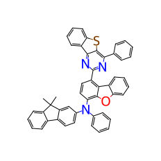 CC1(C)c2ccccc2-c2ccc(N(c3ccccc3)c3ccc(-c4nc(-c5ccccc5)c5sc6ccccc6c5n4)c4c3oc3ccccc34)cc21